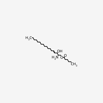 CCCCCCCCCCCCCC=CC(O)C(N)COC(=O)CCCCC